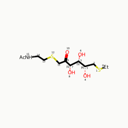 CCSC[C@H](O)[C@@H](O)[C@H](O)C(=O)CSCCNC(C)=O